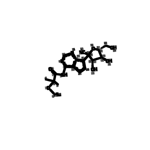 CCCCOC(C)(C)C(=O)Nc1ncnn2c([C@]3(C#N)O[C@H](CO)[C@@H](O)[C@H]3O)ccc12